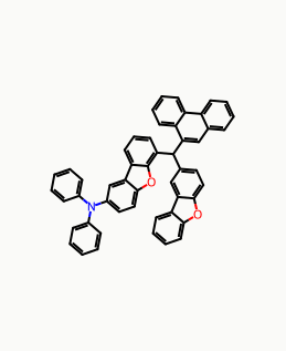 c1ccc(N(c2ccccc2)c2ccc3oc4c(C(c5ccc6oc7ccccc7c6c5)c5cc6ccccc6c6ccccc56)cccc4c3c2)cc1